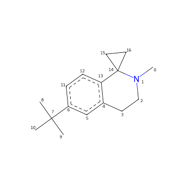 CN1CCc2cc(C(C)(C)C)ccc2C12CC2